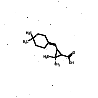 CC1(C)CCC(=CC2C(C(=O)O)C2(C)C)CC1